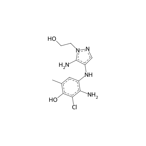 Cc1cc(Nc2cnn(CCO)c2N)c(N)c(Cl)c1O